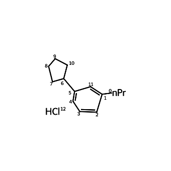 CCCc1cccc(C2CCCC2)c1.Cl